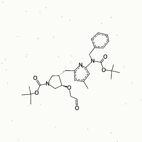 Cc1cc(C[C@H]2CN(C(=O)OC(C)(C)C)C[C@@H]2OCC=O)nc(N(Cc2ccccc2)C(=O)OC(C)(C)C)c1